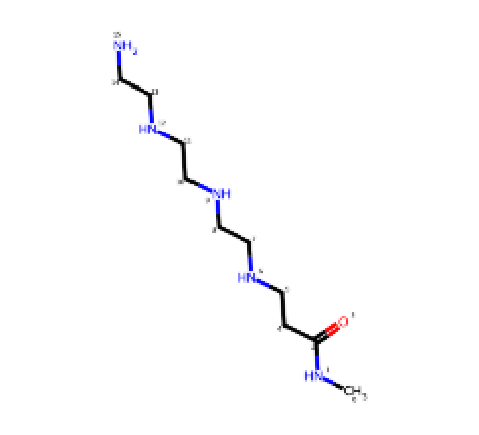 CNC(=O)CCNCCNCCNCCN